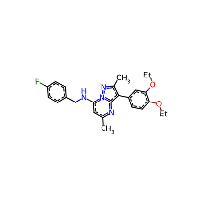 CCOc1ccc(-c2c(C)nn3c(NCc4ccc(F)cc4)cc(C)nc23)cc1OCC